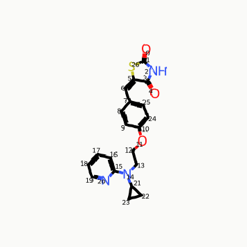 O=C1NC(=O)/C(=C\c2ccc(OCCN(c3ccccn3)C3CC3)cc2)S1